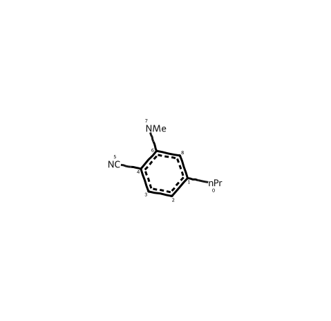 CCCc1ccc(C#N)c(NC)c1